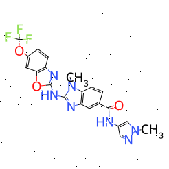 Cn1cc(NC(=O)c2ccc3c(c2)nc(Nc2nc4ccc(OC(F)(F)F)cc4o2)n3C)cn1